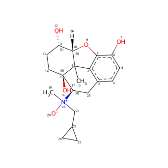 CC12c3c4ccc(O)c3O[C@H]1[C@@H](O)CC[C@@]2(O)[C@H]([N+](C)([O-])CC1CC1)C4